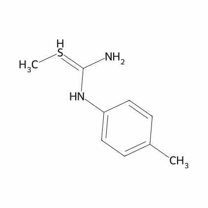 C/[SH]=C(/N)Nc1ccc(C)cc1